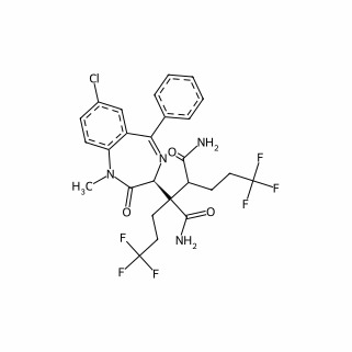 CN1C(=O)[C@H](C(CCC(F)(F)F)(C(N)=O)C(CCC(F)(F)F)C(N)=O)N=C(c2ccccc2)c2cc(Cl)ccc21